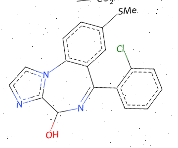 CC(=O)O.CSc1ccc2c(c1)C(c1ccccc1Cl)=NC(O)c1nccn1-2